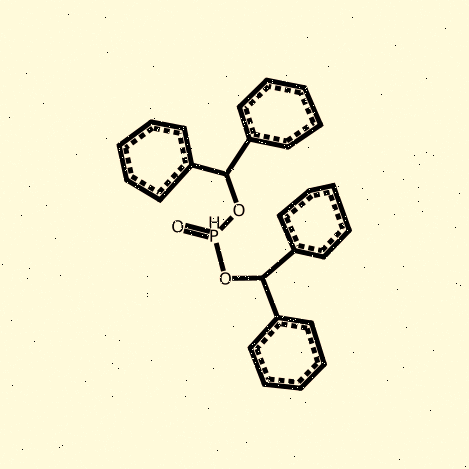 O=[PH](OC(c1ccccc1)c1ccccc1)OC(c1ccccc1)c1ccccc1